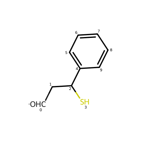 O=[C]CC(S)c1ccccc1